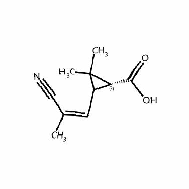 CC(C#N)=CC1[C@@H](C(=O)O)C1(C)C